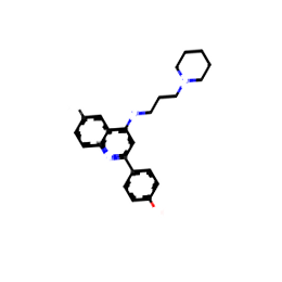 Oc1ccc(-c2cc(NCCCN3CCCCC3)c3cc(C(F)(F)F)ccc3n2)cc1